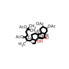 CC(=O)OC(CCC(C)(C)OC(C)=O)[C@@H](C)[C@H]1CC[C@@]2(O)C3=CC(=O)[C@@H]4C[C@@H](OC(C)=O)[C@@H](OC(C)=O)C[C@]4(C)[C@H]3CC[C@]12C